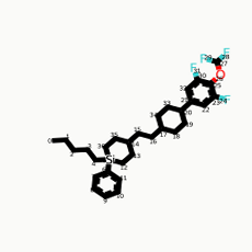 CCCCC[Si]1(c2ccccc2)CCC(CCC2CCC(c3cc(F)c(OC(F)F)c(F)c3)CC2)CC1